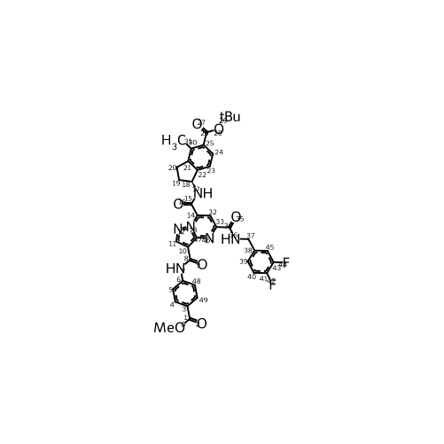 COC(=O)c1ccc(NC(=O)c2cnn3c(C(=O)N[C@H]4CCc5c4ccc(C(=O)OC(C)(C)C)c5C)cc(C(=O)NCc4ccc(F)c(F)c4)nc23)cc1